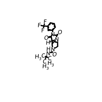 CC(C)(C)NC(=O)N1CC2CC1[C@@H]1C(=O)N(c3cccc(C(F)(F)F)c3)C(=O)N21